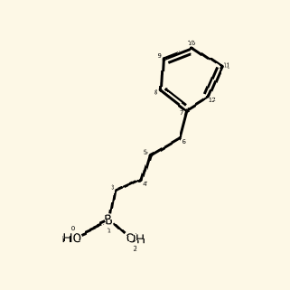 OB(O)CCCCc1ccccc1